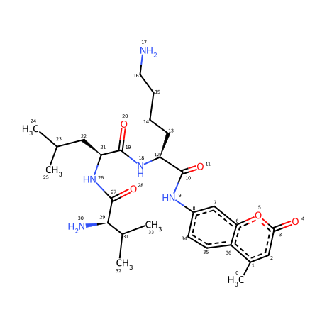 Cc1cc(=O)oc2cc(NC(=O)[C@H](CCCCN)NC(=O)[C@H](CC(C)C)NC(=O)[C@H](N)C(C)C)ccc12